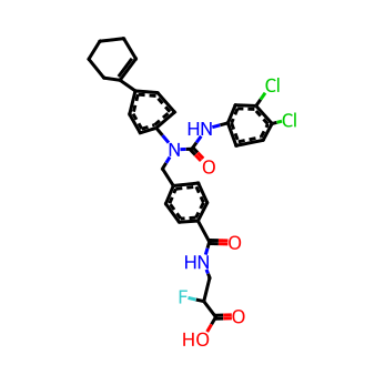 O=C(NCC(F)C(=O)O)c1ccc(CN(C(=O)Nc2ccc(Cl)c(Cl)c2)c2ccc(C3=CCCCC3)cc2)cc1